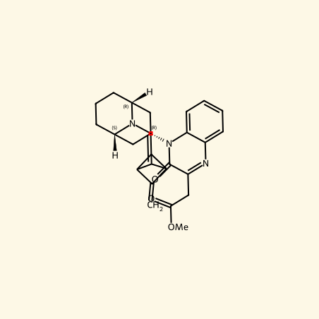 C=C1C2CC1C2=CN1[C@@H]2CCC[C@H]1C[C@@H](n1c(=O)c(CC(=O)OC)nc3ccccc31)C2